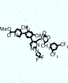 COC(=O)c1cc(C)c(-c2cc(-c3cnc(N4CC(F)(F)C4)nc3CN3C(=O)O[C@H](c4cc(C(F)(F)F)cc(C(F)(F)F)c4)C3C)c(OC)cc2F)cn1